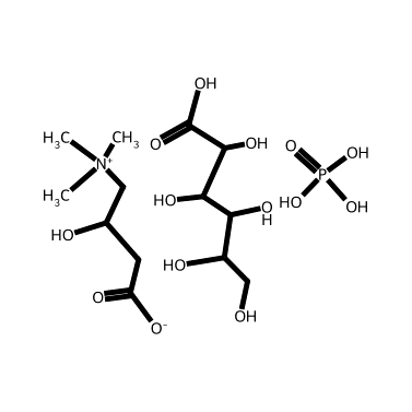 C[N+](C)(C)CC(O)CC(=O)[O-].O=C(O)C(O)C(O)C(O)C(O)CO.O=P(O)(O)O